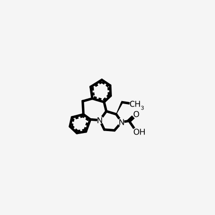 CC[C@@H]1C2c3ccccc3Cc3ccccc3N2CCN1C(=O)O